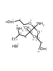 Br.CCCCCCCCCCCCOC(N)(OCCCCCCCCCCCC)C(C)(C)CC(N)CC